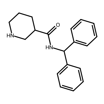 O=C(NC(c1ccccc1)c1ccccc1)C1CCCNC1